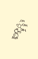 CNCn1c(=O)ccn([C@@H]2O[C@H](CO)[C@@H](O)[C@H]2O)c1=O